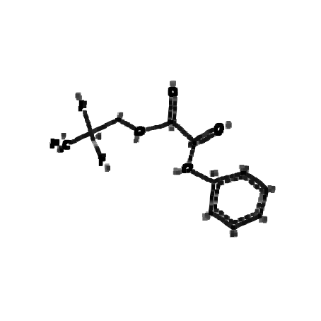 O=C(OCC(F)(F)C(F)(F)F)C(=O)Oc1ccccc1